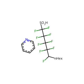 CCCCCCC(F)C(F)(F)C(F)(F)C(F)(F)C(F)(F)S(=O)(=O)O.c1ccncc1